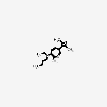 CCCCN(CC)C1=C(C)N=CC(C2=C(C)N=C2C)C=C1